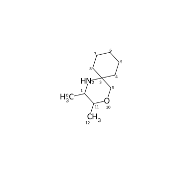 CC1NC2(CCCCC2)COC1C